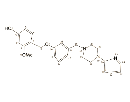 COc1cc(O)ccc1COc1cccc(CN2CCN(c3ccccn3)CC2)c1